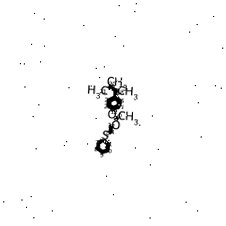 CC(OCCSC1CCCCC1)Oc1ccc(C(C)C(C)C)cc1